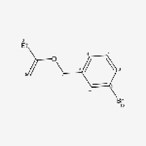 C=C(CC)OCc1cccc(Br)c1